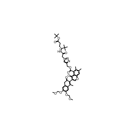 COCOc1cc2c(cc1OCOC)C(C)=C(c1coc3cc(C)c(C)c(C(=O)OCc4cn(CC(=O)N[C@@H](CCC(=O)OC(C)(C)C)C(C)(C)C)nn4)c3c1=O)C(=O)C2